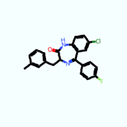 Cc1cccc(CC2N=C(c3ccc(F)cc3)c3cc(Cl)ccc3NC2=O)c1